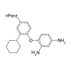 CCCCCc1ccc(Oc2ccc(N)cc2N)c(C2CCCCC2)c1